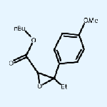 CCCCOC(=O)C1OC1(CC)c1ccc(OC)cc1